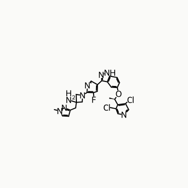 C[C@@H](Oc1ccc2[nH]nc(-c3cnc(N4CC(N)(Cc5ccn(C)n5)C4)c(F)c3)c2c1)c1c(Cl)cncc1Cl